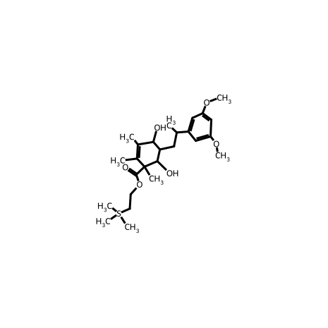 COc1cc(OC)cc(C(C)CC2C(O)C(C)=C(C)C(C)(C(=O)OCCS(C)(C)C)C2O)c1